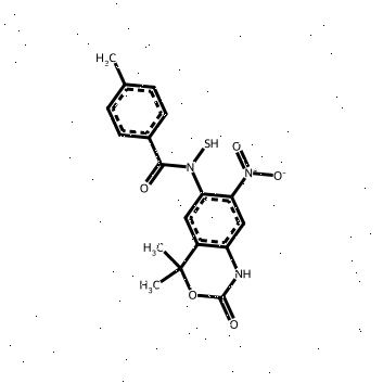 Cc1ccc(C(=O)N(S)c2cc3c(cc2[N+](=O)[O-])NC(=O)OC3(C)C)cc1